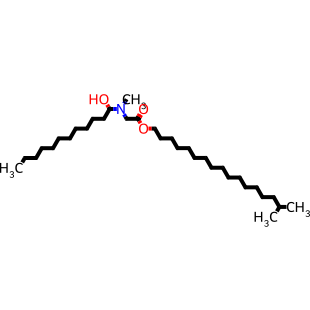 CCCCCCCCCCCC(O)N(C)CC(=O)OCCCCCCCCCCCCCCCC(C)C